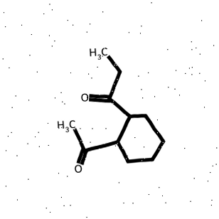 CCC(=O)C1CCCCC1C(C)=O